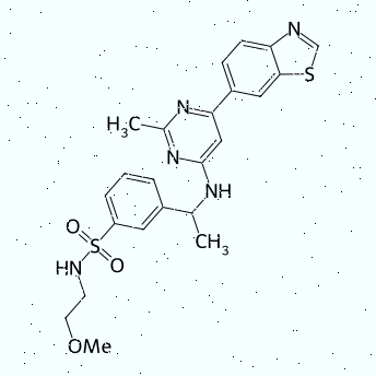 COCCNS(=O)(=O)c1cccc(C(C)Nc2cc(-c3ccc4ncsc4c3)nc(C)n2)c1